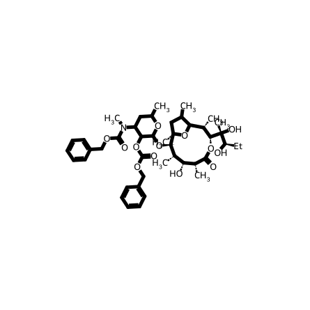 CC[C@@H](O)[C@@](C)(O)[C@@H]1OC(=O)[C@H](C)[C@H](O)[C@H](C)[C@@H](OC2OC(C)CC(N(C)C(=O)OCc3ccccc3)C2OC(=O)OCc2ccccc2)[C@@]2(C)CC(C)C(O2)[C@@H]1C